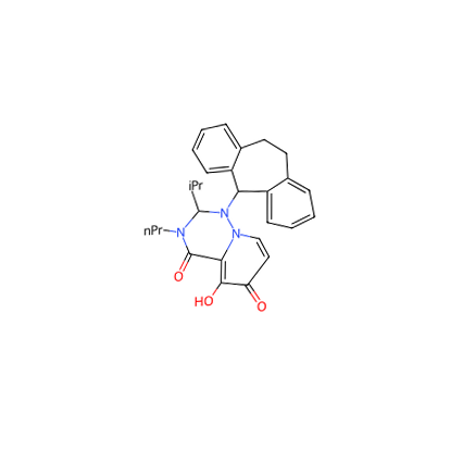 CCCN1C(=O)c2c(O)c(=O)ccn2N(C2c3ccccc3CCc3ccccc32)C1C(C)C